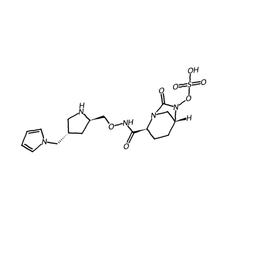 O=C(NOC[C@H]1C[C@H](Cn2cccc2)CN1)[C@@H]1CC[C@@H]2CN1C(=O)N2OS(=O)(=O)O